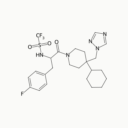 O=C(C(Cc1ccc(F)cc1)NS(=O)(=O)C(F)(F)F)N1CCC(Cn2cncn2)(C2CCCCC2)CC1